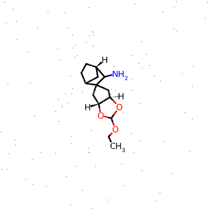 CCOC1O[C@@H]2CC3(C[C@H]2O1)C1CC[C@@H](C1)C3N